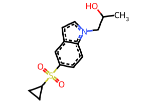 CC(O)Cn1ccc2cc(S(=O)(=O)C3CC3)ccc21